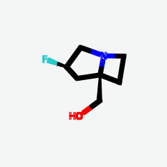 OC[C@]12CCN1C[C@H](F)C2